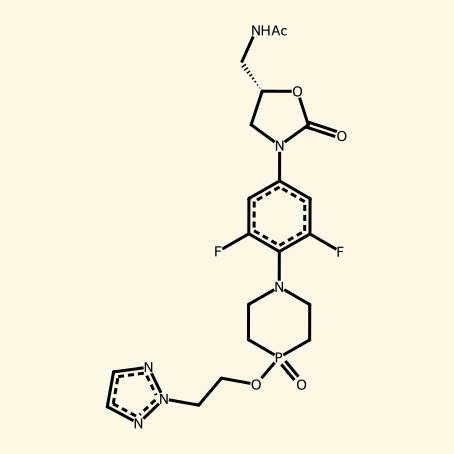 CC(=O)NC[C@H]1CN(c2cc(F)c(N3CCP(=O)(OCCn4nccn4)CC3)c(F)c2)C(=O)O1